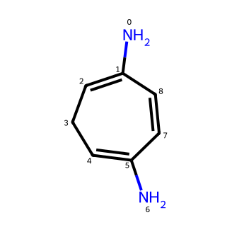 NC1=CCC=C(N)C=C1